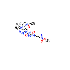 C[C@@H]1CCN(C(=O)CC#N)C[C@@H]1N(C)c1ncnc2c1ccn2C(=O)NCC(=O)NCCCCNC(=O)OC(C)(C)C